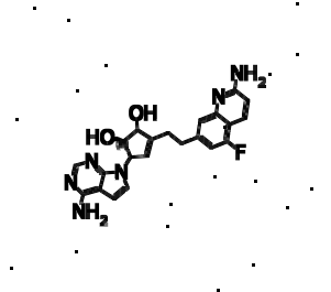 Nc1ccc2c(F)cc(CCC3=CC(n4ccc5c(N)ncnc54)[C@@H](O)C3O)cc2n1